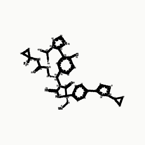 CC(C)(C)C[C@]1(c2ccc(-c3cnn(C4CC4)n3)cc2)NC(=N)N([C@H](COC(=O)NC2(C(F)(F)F)CC2)c2ccc(Cl)c(-c3ncnn3C(F)F)c2)C1=O